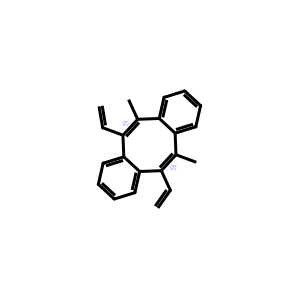 C=C/C1=C(\C)c2ccccc2/C(C)=C(/C=C)c2ccccc21